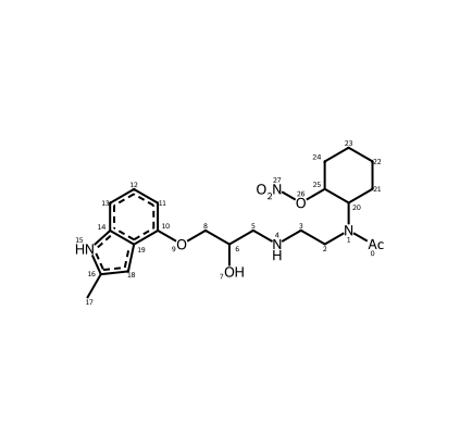 CC(=O)N(CCNCC(O)COc1cccc2[nH]c(C)cc12)C1CCCCC1O[N+](=O)[O-]